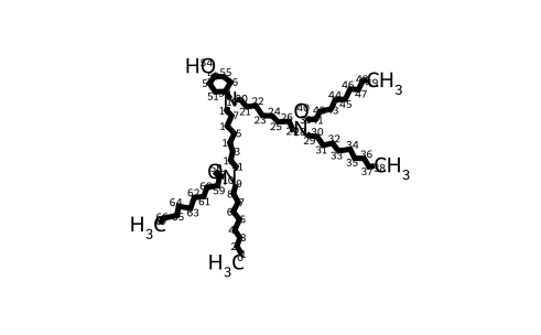 CCCCCCCCCCN(CCCCCCCCN(CCCCCCCCN(CCCCCCCCCC)C(=O)CCCCCCCCC)C1CCC(O)CC1)C(=O)CCCCCCCCC